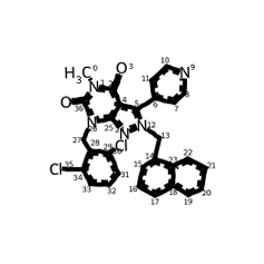 Cn1c(=O)c2c(-c3ccncc3)n(Cc3cccc4ccccc34)nc2n(Cc2c(Cl)cccc2Cl)c1=O